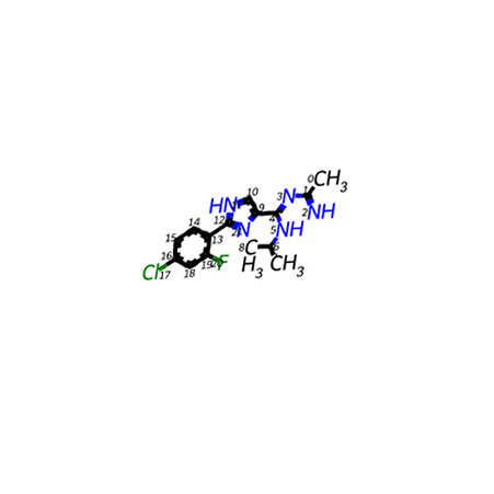 CC(=N)/N=C(\NC(C)C)c1c[nH]c(-c2ccc(Cl)cc2F)n1